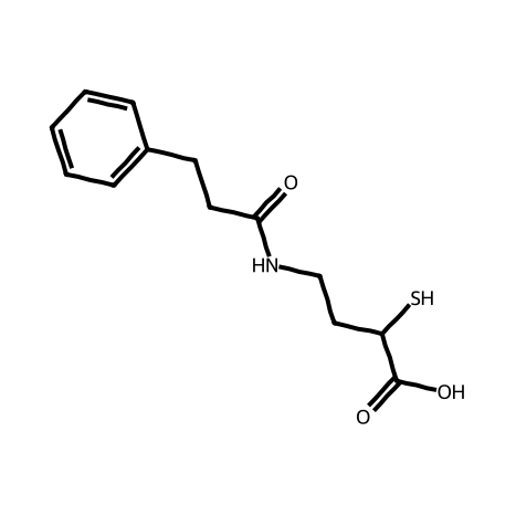 O=C(CCc1ccccc1)NCCC(S)C(=O)O